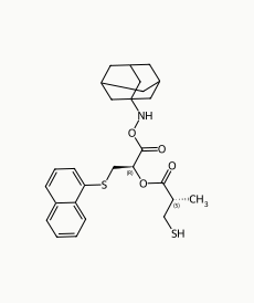 C[C@H](CS)C(=O)O[C@@H](CSc1cccc2ccccc12)C(=O)ONC12CC3CC(CC(C3)C1)C2